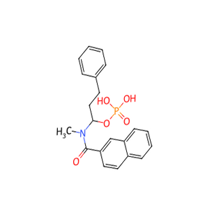 CN(C(=O)c1ccc2ccccc2c1)C(CCc1ccccc1)OP(=O)(O)O